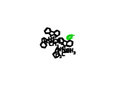 C[SiH](C)[Hf+]([CH]1C=Cc2ccccc21)[CH]1c2ccccc2-c2ccccc21.C[SiH](C)[Hf+]([CH]1C=Cc2ccccc21)[CH]1c2ccccc2-c2ccccc21.[Cl-].[Cl-]